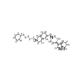 c1ccc(CCCCCOc2ccc3cc(CN4CCC(c5c[nH]c6ccccc56)CC4)ccc3c2)cc1